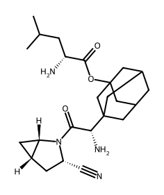 CC(C)C[C@@H](N)C(=O)OC12CC3CC(C1)CC([C@H](N)C(=O)N1[C@H](C#N)C[C@@H]4C[C@@H]41)(C3)C2